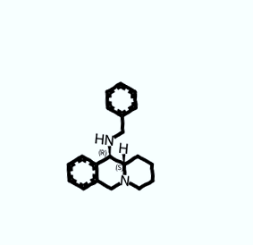 c1ccc(CN[C@@H]2c3ccccc3CN3CCCC[C@@H]23)cc1